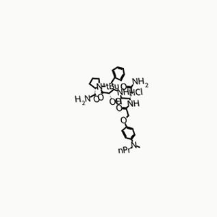 CCCN(C)c1ccc(OCC(=O)N[C@@H](CC(N)=O)C(=O)N[C@@H](Cc2ccccc2)[C@H](O)C(=O)[N+]2(C(C)(C)C)CCC[C@H]2C(N)=O)cc1.Cl